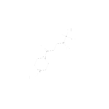 CN1CCN(C(=O)CCC(=O)C(C)(C)C)CC1